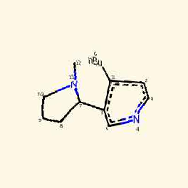 CCCCc1ccncc1C1CCCN1C